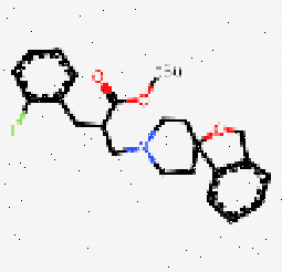 CC(C)(C)OC(=O)C(Cc1ccccc1F)CN1CCC2(CC1)OCc1ccccc12